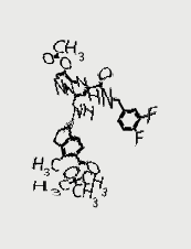 CC(=O)Oc1cnn2c(CN[C@H]3CCc4c3ccc(C(=O)OC(C)(C)C)c4C)cc(C(=O)NCc3ccc(F)c(F)c3)nc12